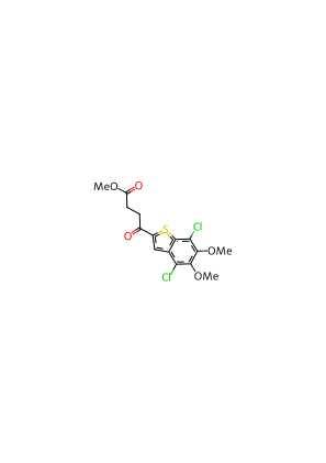 COC(=O)CCC(=O)c1cc2c(Cl)c(OC)c(OC)c(Cl)c2s1